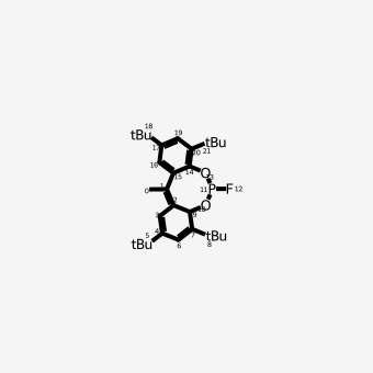 C/C1=C2\C=C(C(C)(C)C)C=C(C(C)(C)C)C2OP(F)Oc2c1cc(C(C)(C)C)cc2C(C)(C)C